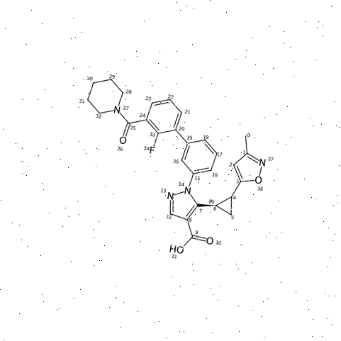 Cc1cc(C2C[C@H]2c2c(C(=O)O)cnn2-c2cccc(-c3cccc(C(=O)N4CCCCC4)c3F)c2)on1